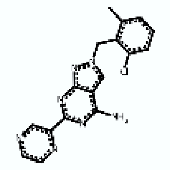 Cc1cccc(Cl)c1Cn1cc2c(N)nc(-c3cnccn3)nc2n1